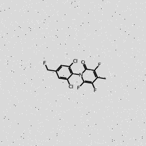 Cc1c(F)c(F)n(-c2c(Cl)cc(CF)cc2Cl)c(=O)c1F